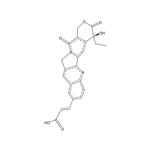 CC[C@@]1(O)C(=O)OCc2c1cc1n(c2=O)Cc2cc3cc(C=CC(=O)O)ccc3nc2-1